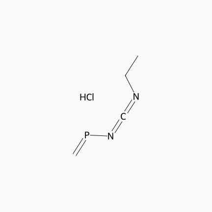 C=PN=C=NCC.Cl